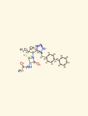 CC(C)C(=O)NC1C(=O)N2C1SC(C)(C)C2c1nnnn1Cc1ccc(-c2ccccc2)cc1